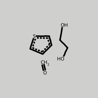 C=O.OCCO.c1ccsc1